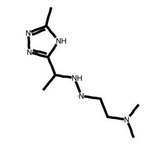 Cc1nnc(C(C)N[N]CCN(C)C)[nH]1